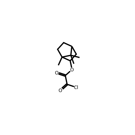 CC1(C)C2CCC1(C)C(OC(=O)C(=O)Cl)C2